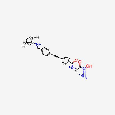 NC[C@H](NC(=O)c1ccc(C#Cc2ccc(CNC3C[C@@H]4CC[C@H]3C4)cc2)cc1)C(=O)NO